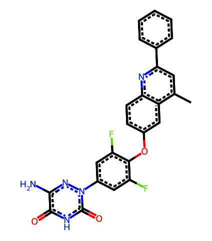 Cc1cc(-c2ccccc2)nc2ccc(Oc3c(F)cc(-n4nc(N)c(=O)[nH]c4=O)cc3F)cc12